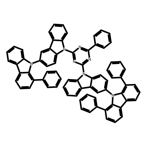 c1ccc(-c2nc(-n3c4ccccc4c4cc(-n5c6ccccc6c6cccc(-c7ccccc7)c65)ccc43)nc(-n3c4ccccc4c4cc(-n5c6c(-c7ccccc7)cccc6c6cccc(-c7ccccc7)c65)ccc43)n2)cc1